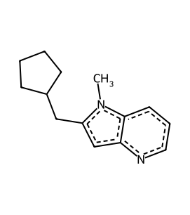 Cn1c(CC2CCCC2)cc2ncccc21